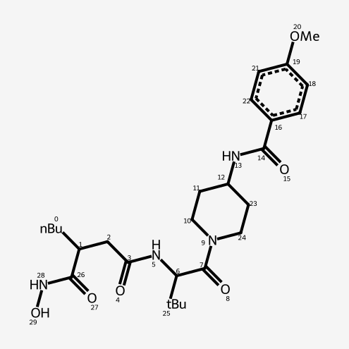 CCCCC(CC(=O)NC(C(=O)N1CCC(NC(=O)c2ccc(OC)cc2)CC1)C(C)(C)C)C(=O)NO